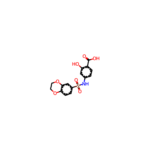 O=C(O)c1ccc(NS(=O)(=O)c2ccc3c(c2)OCCO3)cc1O